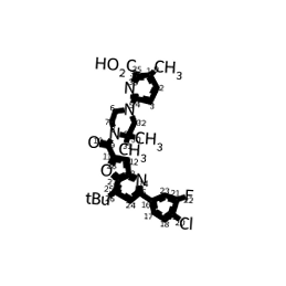 Cc1ccc(N2CCN(C(=O)c3cc4nc(-c5ccc(Cl)c(F)c5)cc(C(C)(C)C)c4o3)C(C)(C)C2)nc1C(=O)O